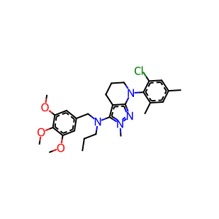 CCCN(Cc1cc(OC)c(OC)c(OC)c1)c1c2c(nn1C)N(c1c(C)cc(C)cc1Cl)CCC2